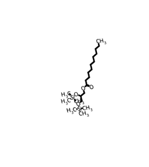 CCCCCCCCCCCC(=O)OCC(CO[Si](C)(C)C)O[Si](C)(C)C